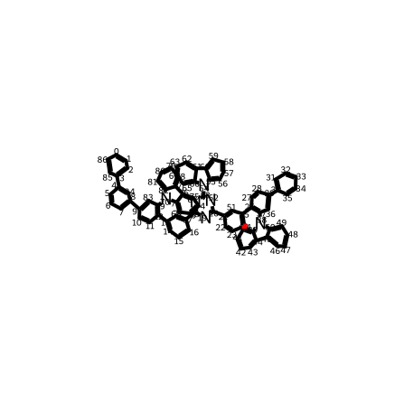 c1ccc(-c2cccc(-c3ccc(-c4cccc(-c5nc(-c6cccc(-c7ccc(-c8ccccc8)cc7-n7c8ccccc8c8ccccc87)c6)nc(-n6c7ccccc7c7ccccc76)n5)c4)c(-n4c5ccccc5c5ccccc54)c3)c2)cc1